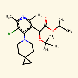 Cc1nc(C)c(C(OC(C)(C)C)C(=O)OC(C)C)c(N2CCC3(CC2)CC3)c1Br